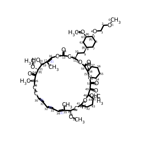 COCCO[C@@H]1CC[C@@H](CC[C@@H]2CC(=O)C/C=C(\C)[C@@H](O)[C@@H](OC)C(=O)[C@H](C)CC/C=C/C=C/C=C(\C)[C@@H](OC)C[C@@H]3CC[C@@H](C)[C@@](O)(O3)C(=O)C(=O)N3CCCC[C@H]3C(=O)O2)C[C@H]1OC